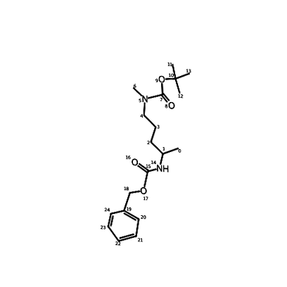 CC(CCCN(C)C(=O)OC(C)(C)C)NC(=O)OCc1ccccc1